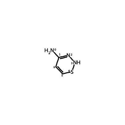 NC1=NNSC=C1